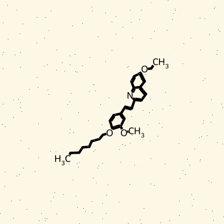 CCCCCCCCOc1ccc(C=Cc2ccc3cc(OCC)ccc3n2)cc1OC